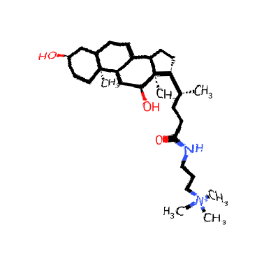 C[C@H](CCC(=O)NCCC[N+](C)(C)C)[C@H]1CCC2C3CCC4C[C@H](O)CC[C@]4(C)C3C[C@H](O)[C@@]21C